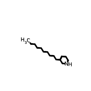 CCCCCCCCCCC1CCCNC1